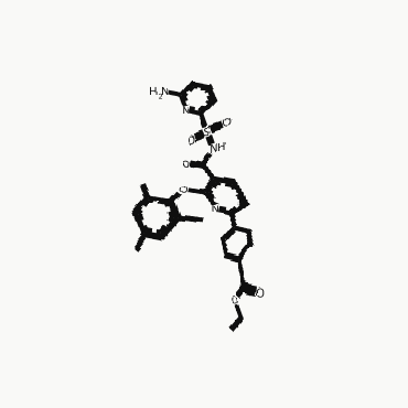 CCOC(=O)C1CC=C(c2ccc(C(=O)NS(=O)(=O)c3cccc(N)n3)c(Oc3c(C)cc(C)cc3C)n2)CC1